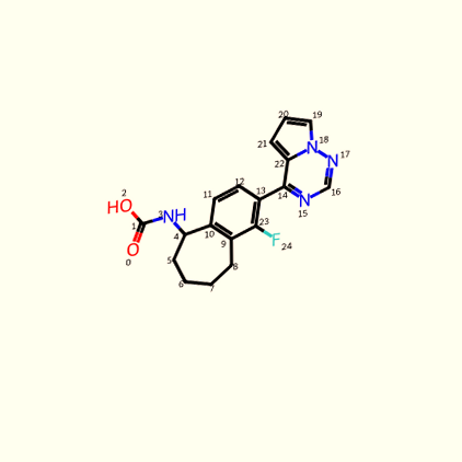 O=C(O)NC1CCCCc2c1ccc(-c1ncnn3cccc13)c2F